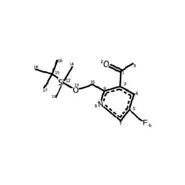 CC(=O)c1cc(F)cnc1CO[Si](C)(C)C(C)(C)C